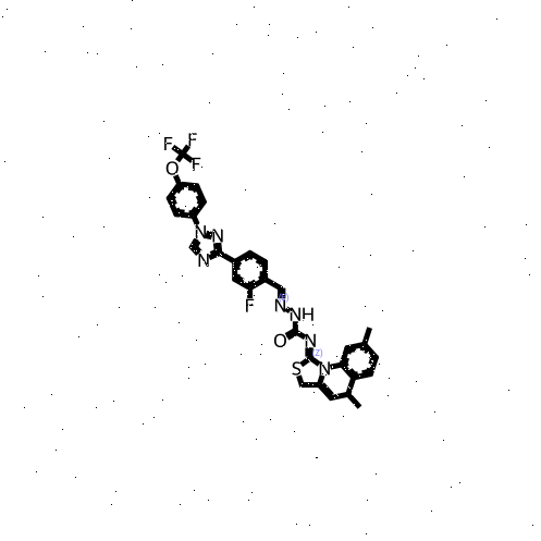 Cc1ccc2c(c1)N1C(=CC2C)CS/C1=N\C(=O)N/N=C/c1ccc(-c2ncn(-c3ccc(OC(F)(F)F)cc3)n2)cc1F